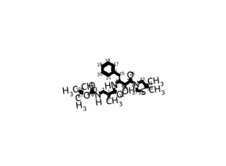 CC(CNC(=O)OC(C)(C)C)C(=O)N[C@@H](Cc1ccccc1)[C@H](O)C(=O)N1CSC(C)(C)C1